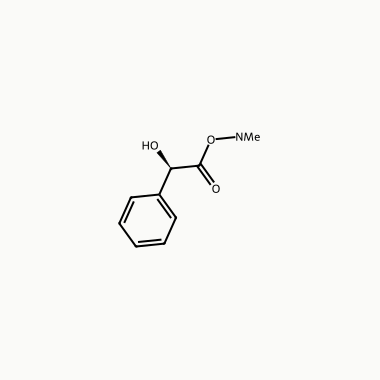 CNOC(=O)[C@H](O)c1ccccc1